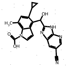 Cc1cc(C2CC2)c(C(O)c2nc3cc(C#N)cnc3[nH]2)c2ccn(C(=O)O)c12